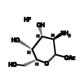 CC(=O)OC1O[C@H](CO)[C@H](O)[C@H](O)[C@H]1N.F